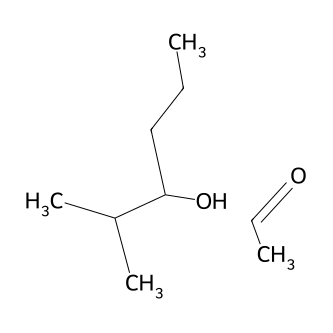 CC=O.CCCC(O)C(C)C